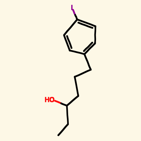 CCC(O)CCCc1ccc(I)cc1